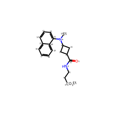 CCOC(=O)CCNC(=O)C1CC(N(CC)c2cccc3ccccc23)C1